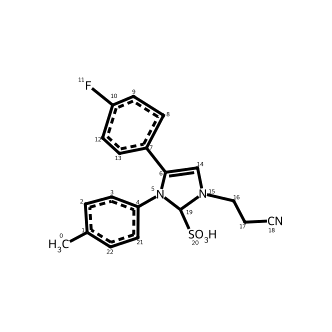 Cc1ccc(N2C(c3ccc(F)cc3)=CN(CCC#N)C2S(=O)(=O)O)cc1